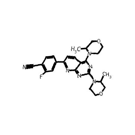 CC1COCCN1c1nc(N2CCOCC2C)c2ccc(-c3ccc(C#N)c(F)c3)nc2n1